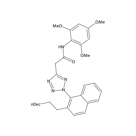 CCCCCCCCCCCCc1ccc2ccccc2c1-n1nnc(CC(=O)Nc2c(OC)cc(OC)cc2OC)n1